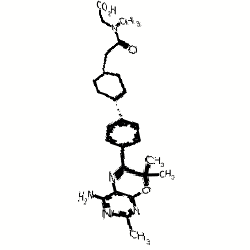 Cc1nc(N)c2c(n1)OC(C)(C)C(c1ccc([C@H]3CC[C@H](CC(=O)N(C)CC(=O)O)CC3)cc1)=N2